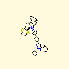 C1=CCCC(c2cc(-c3ccc(-c4ccc(-n5c6ccc7ccccc7c6c6ccc7c(c65)SC5=CCCC=C5S7)cc4)cc3)nc(-c3ccccc3)n2)=C1